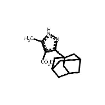 CCOC(=O)c1c(C23CC4CC(CC(C4)C2)C3)n[nH]c1C